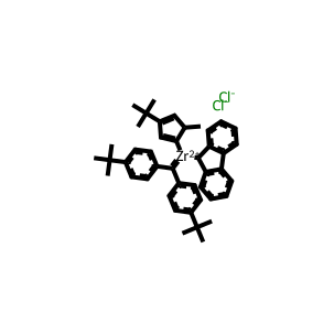 CC1C=C(C(C)(C)C)C=[C]1[Zr+2](=[C](c1ccc(C(C)(C)C)cc1)c1ccc(C(C)(C)C)cc1)[CH]1c2ccccc2-c2ccccc21.[Cl-].[Cl-]